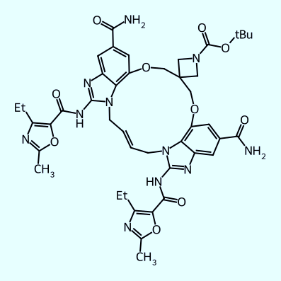 CCc1nc(C)oc1C(=O)Nc1nc2cc(C(N)=O)cc3c2n1C/C=C/Cn1c(NC(=O)c2oc(C)nc2CC)nc2cc(C(N)=O)cc(c21)OCC1(CO3)CN(C(=O)OC(C)(C)C)C1